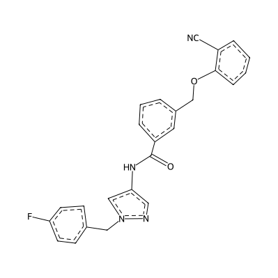 N#Cc1ccccc1OCc1cccc(C(=O)Nc2cnn(Cc3ccc(F)cc3)c2)c1